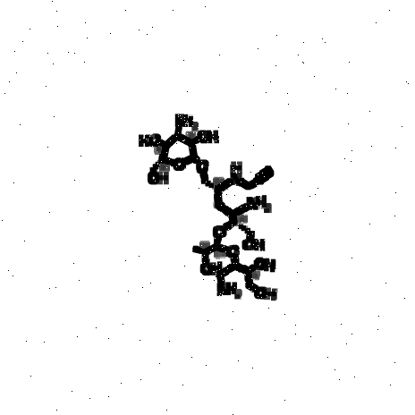 C#CCN[C@@H](COC1O[C@H](CO)[C@@H](O)C(N)[C@H]1O)CC(N)[C@H](CO)O[C@@H](OC(CN)[C@@H](O)CO)[C@H](C)O